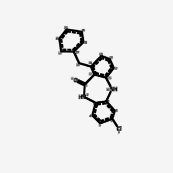 O=C1Nc2ccc(Cl)cc2Nc2cccc(Cc3ccccc3)c21